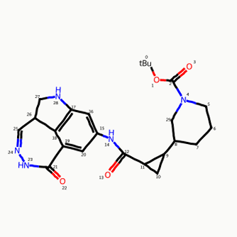 CC(C)(C)OC(=O)N1CCCC(C2CC2C(=O)Nc2cc3c4c(c2)C(=O)NN=CC4CN3)C1